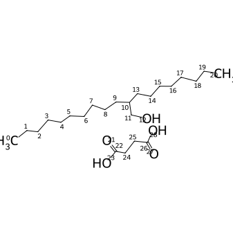 CCCCCCCCCCC(CO)CCCCCCCC.O=C(O)CCC(=O)O